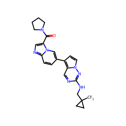 O=C(c1cnc2ccc(-c3ccn4nc(NCC5(C(F)(F)F)CC5)ncc34)cn12)N1CCCC1